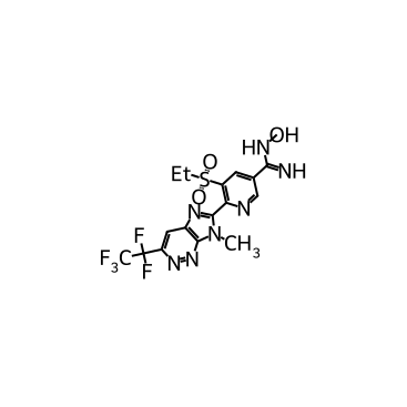 CCS(=O)(=O)c1cc(C(=N)NO)cnc1-c1nc2cc(C(F)(F)C(F)(F)F)nnc2n1C